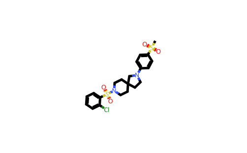 CS(=O)(=O)c1ccc(N2CCC3(CCN(S(=O)(=O)c4ccccc4Cl)CC3)C2)cc1